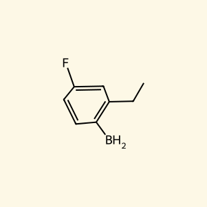 Bc1ccc(F)cc1CC